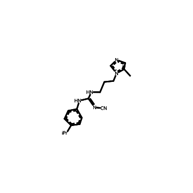 Cc1cncn1CCCNC(=NC#N)Nc1ccc(C(C)C)cc1